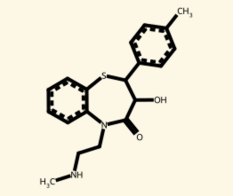 CNCCN1C(=O)C(O)C(c2ccc(C)cc2)Sc2ccccc21